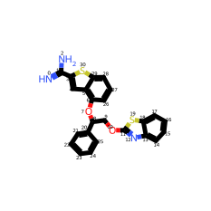 N=C(N)c1cc2c(OC(COc3nc4ccccc4s3)c3ccccc3)cccc2s1